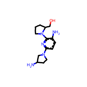 Nc1ccc(N2CCC(N)C2)nc1N1CCCC1CO